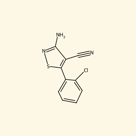 N#Cc1c(N)nsc1-c1ccccc1Cl